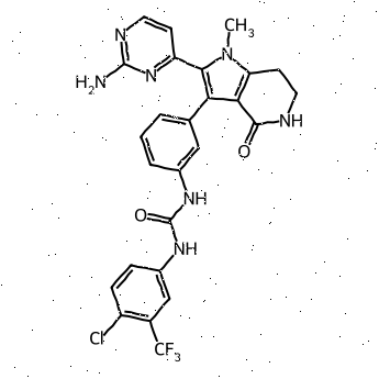 Cn1c2c(c(-c3cccc(NC(=O)Nc4ccc(Cl)c(C(F)(F)F)c4)c3)c1-c1ccnc(N)n1)C(=O)NCC2